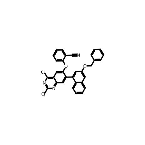 N#Cc1ccccc1Oc1cc2c(Cl)nc(Cl)nc2cc1-c1cc(OCc2ccccc2)cc2ccccc12